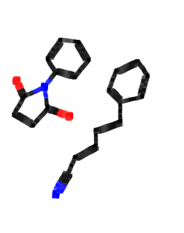 N#CC=CC=Cc1ccccc1.O=C1C=CC(=O)N1c1ccccc1